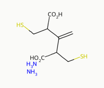 C=C(C(CS)C(=O)O)C(CS)C(=O)O.N.N